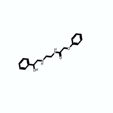 O=C(COc1ccccc1)NCCNCC(O)c1ccccc1